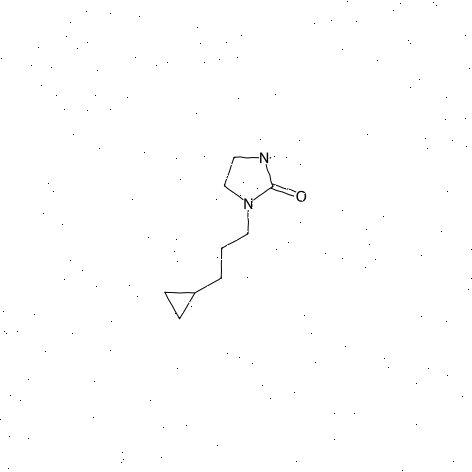 O=C1[N]CCN1CCCC1CC1